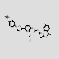 COCOc1cc(-c2ncn(-c3ccc(OC(F)(F)F)cc3)n2)ccc1NC(=O)/N=C1\SCC(=O)N1c1cc(C)ccc1C(C)C